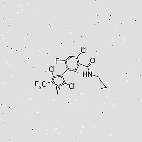 Cn1c(Cl)c(-c2cc(C(=O)NCC3CC3)c(Cl)cc2F)c(Cl)c1C(F)(F)F